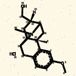 COc1ccc2c(c1)[C@]1(C)CC3[C@@H](CO)CC1C(C2)N3C.Cl